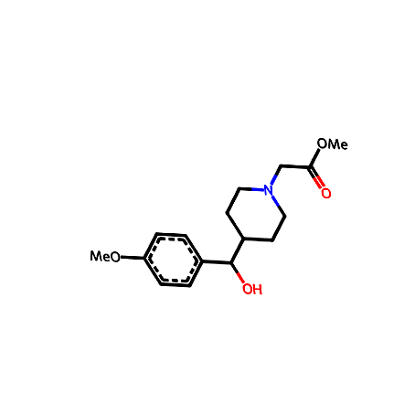 COC(=O)CN1CCC(C(O)c2ccc(OC)cc2)CC1